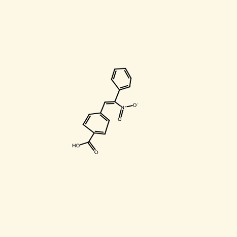 O=C(O)c1ccc(C=C(c2ccccc2)[N+](=O)[O-])cc1